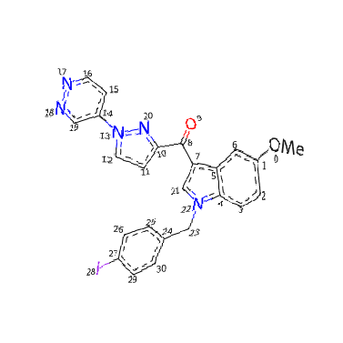 COc1ccc2c(c1)c(C(=O)c1ccn(-c3ccnnc3)n1)cn2Cc1ccc(I)cc1